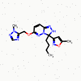 CCCCC1(c2cc(C)on2)NN=C2C=CC(OCc3ncnn3C)=NN21